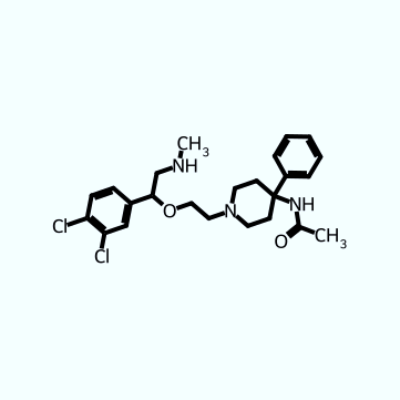 CNCC(OCCN1CCC(NC(C)=O)(c2ccccc2)CC1)c1ccc(Cl)c(Cl)c1